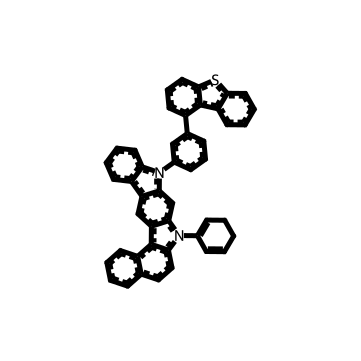 C1=CC(n2c3cc4c(cc3c3c5ccccc5ccc32)c2ccccc2n4-c2cccc(-c3cccc4sc5ccccc5c34)c2)=CCC1